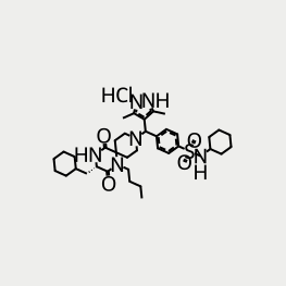 CCCCN1C(=O)[C@H](CC2CCCCC2)NC(=O)C12CCN(C(c1ccc(S(=O)(=O)NC3CCCCC3)cc1)c1c(C)n[nH]c1C)CC2.Cl